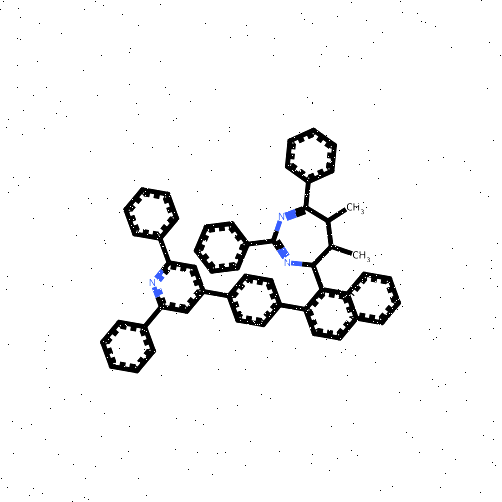 CC1C(c2ccccc2)=NC(c2ccccc2)=NC(c2c(-c3ccc(-c4cc(-c5ccccc5)nc(-c5ccccc5)c4)cc3)ccc3ccccc23)C1C